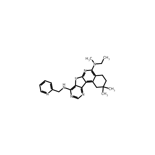 CCN(C)c1nc2sc3c(NCc4ccccn4)ncnc3c2c2c1CCC(C)(C)C2